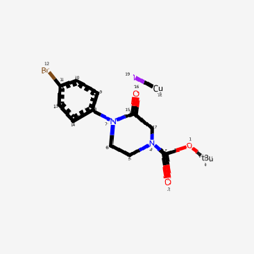 CC(C)(C)OC(=O)N1CCN(c2ccc(Br)cc2)C(=O)C1.[Cu][I]